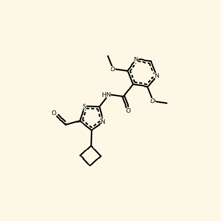 COc1ncnc(OC)c1C(=O)Nc1nc(C2CCC2)c(C=O)s1